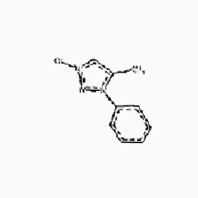 Cc1c[n+]([O-])nn1-c1ccccc1